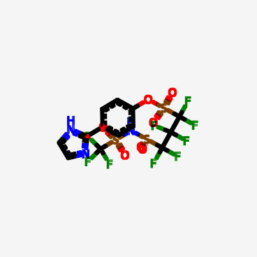 O=S(=O)(NS(=O)(=O)C(F)(F)C(F)(F)C(F)(F)S(=O)(=O)Oc1ccc(-c2ncc[nH]2)cc1)C(F)(F)F